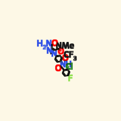 CNC(=O)c1c(C(N)=O)ncn1-c1ccc(NC(=O)c2ccc(F)cc2Cl)c(OC(F)(F)F)c1